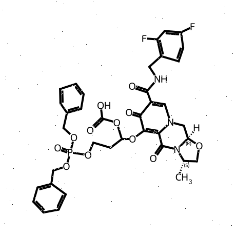 C[C@H]1CO[C@@H]2Cn3cc(C(=O)NCc4ccc(F)cc4F)c(=O)c(OC(CCOP(=O)(OCc4ccccc4)OCc4ccccc4)OC(=O)O)c3C(=O)N12